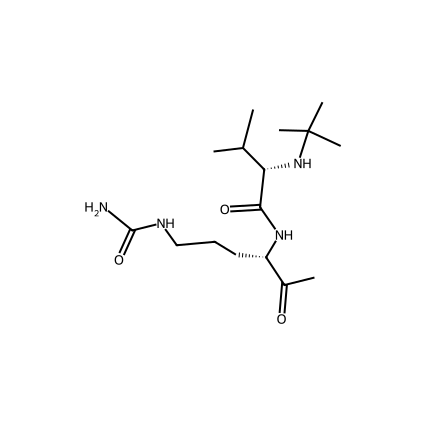 CC(=O)[C@H](CCCNC(N)=O)NC(=O)[C@@H](NC(C)(C)C)C(C)C